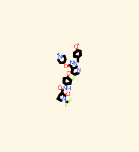 COc1ccc(Cn2nc(OC3CCN(C)CC3)c3c(Oc4ccc(NC(=O)c5cccn(C(F)F)c5=O)cc4F)ccnc32)cc1